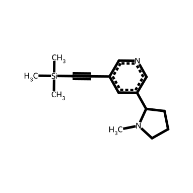 CN1CCCC1c1cncc(C#C[Si](C)(C)C)c1